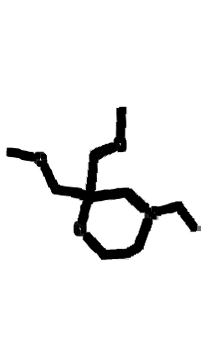 [CH2]CN1CCOC(COC)(COC)C1